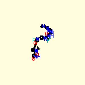 O=C1CCC(c2nn(C3CC3)c3c(C#CCO[C@H]4CCN(C[C@H]5CC[C@H](n6cc(NC(=O)c7cnn8ccc(N9CC(CN%10CCC%10)C9)nc78)c(C(F)F)n6)CC5)C[C@H]4F)cccc23)C(=O)N1